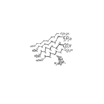 CCCCCCCCCCCCCCCCCC(=O)O.CCCCCCCCCCCCCCCCCC(=O)O.CCCCCCCCCCCCCCCCCC(=O)O.CCCCCCCCCCCCCCCCCC(=O)O.[MgH2].[MgH2].[MgH2].[MgH2]